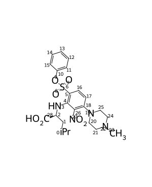 CC(C)C[C@H](Nc1c(S(=O)(=O)Oc2ccccc2)ccc(N2CCN(C)CC2)c1[N+](=O)[O-])C(=O)O